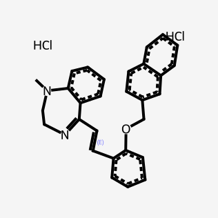 CN1CCN=C(/C=C/c2ccccc2OCc2ccc3ccccc3c2)c2ccccc21.Cl.Cl